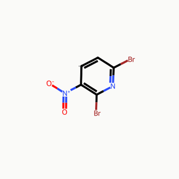 O=[N+]([O-])c1[c]cc(Br)nc1Br